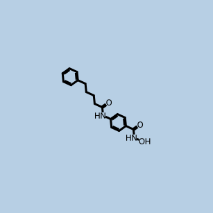 O=C(CCCCc1ccccc1)Nc1ccc(C(=O)NO)cc1